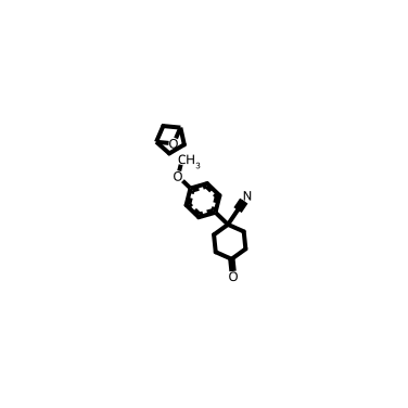 C1CC2CC1O2.COc1ccc(C2(C#N)CCC(=O)CC2)cc1